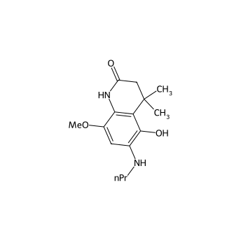 CCCNc1cc(OC)c2c(c1O)C(C)(C)CC(=O)N2